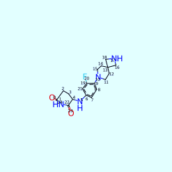 O=C1CCC(Nc2ccc(N3CCC4(CC3)CNC4)c(F)c2)C(=O)N1